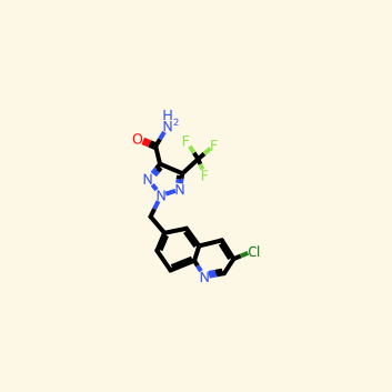 NC(=O)c1nn(Cc2ccc3ncc(Cl)cc3c2)nc1C(F)(F)F